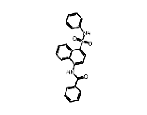 O=C(Nc1ccc(S(=O)(=O)Nc2ccccc2)c2ccccc12)c1ccccc1